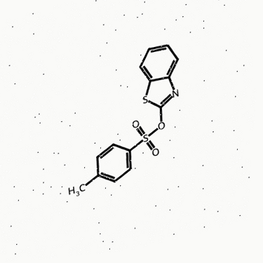 Cc1ccc(S(=O)(=O)Oc2nc3ccccc3s2)cc1